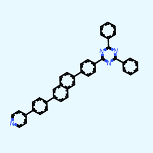 c1ccc(-c2nc(-c3ccccc3)nc(-c3ccc(-c4ccc5cc(-c6ccc(-c7ccncc7)cc6)ccc5c4)cc3)n2)cc1